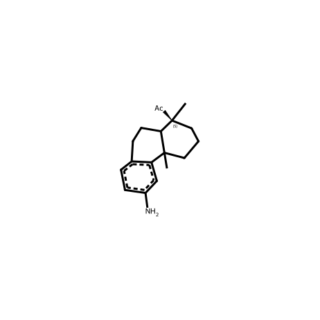 CC(=O)[C@@]1(C)CCCC2(C)c3cc(N)ccc3CCC21